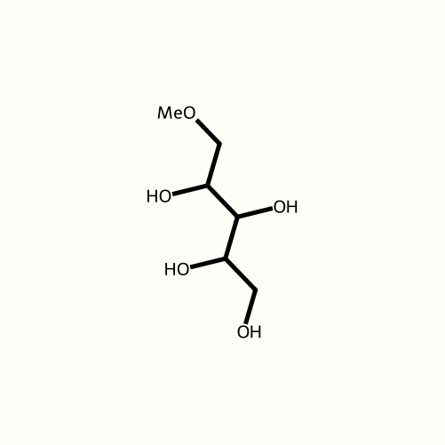 COCC(O)C(O)C(O)CO